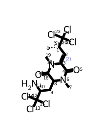 C[C@@H](/C=C1/C(=O)N(C)C(CC(N)C(Cl)(Cl)Cl)C(=O)N1C)C(Cl)(Cl)Cl